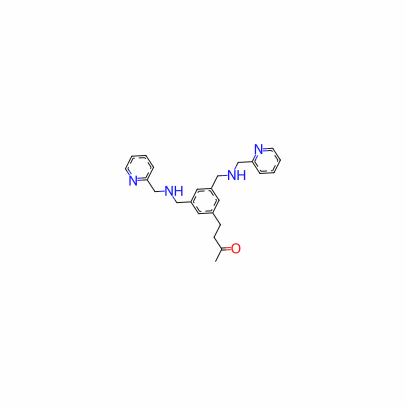 CC(=O)CCc1cc(CNCc2ccccn2)cc(CNCc2ccccn2)c1